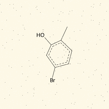 Cc1c[c]c(Br)cc1O